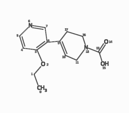 CCOc1ccncc1C1=CCN(C(=O)O)CC1